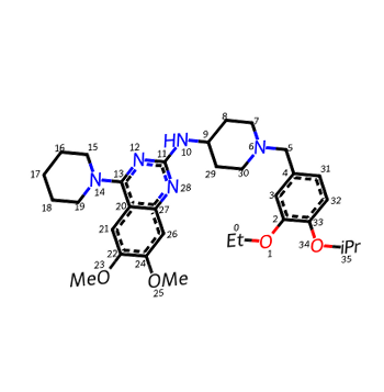 CCOc1cc(CN2CCC(Nc3nc(N4CCCCC4)c4cc(OC)c(OC)cc4n3)CC2)ccc1OC(C)C